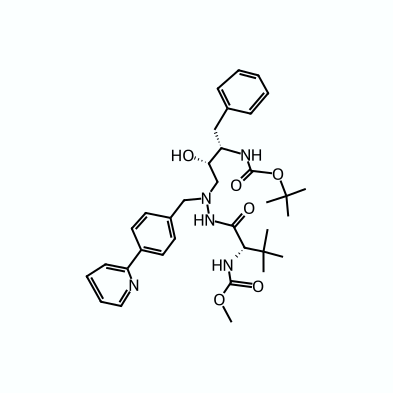 COC(=O)N[C@H](C(=O)NN(Cc1ccc(-c2ccccn2)cc1)C[C@H](O)[C@H](Cc1ccccc1)NC(=O)OC(C)(C)C)C(C)(C)C